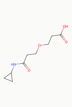 O=C(O)CCOCCC(=O)NC1CC1